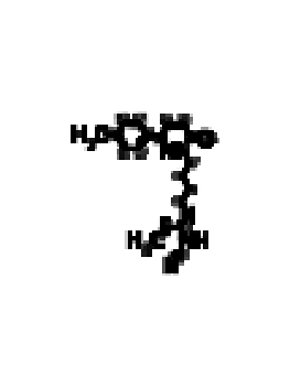 CSC(=NCCCCn1nc(-c2ccc(C)cc2)ccc1=O)NC#N